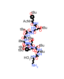 CC[C@H](C)[C@H](NC(=O)[C@H](COC(C)(C)C)NC(=O)[C@H](Cc1ccc(OC(C)(C)C)cc1)NC(=O)[C@H](CC(=O)OC(C)(C)C)NC(=O)[C@H](COC(C)(C)C)NC(=O)[C@@H](NC(=O)[C@](C)(CC)NC(=O)[C@@H](NC(=O)CNC(=O)[C@H](CCC(=O)OC(C)(C)C)NC(=O)C(C)(C)NC(=O)[C@H](Cc1ccc(OC(C)(C)C)cc1)NC(C)=O)[C@@H](C)OC(C)(C)C)[C@@H](C)CC)C(=O)NC(C)(C)C(=O)N[C@@H](CCCCN)C(=O)O